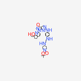 CC[C@@]1(O)CCc2ccc(-n3c4nc(Nc5ccc(NCCNC6CCN(C(=O)OC(C)(C)C)CC6)cc5)ncc4c(=O)n3C)nc21